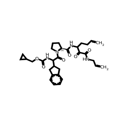 C=CCCC(NC(=O)[C@@H]1CCCN1C(=O)C(NC(=O)OCC1CC1)C1Cc2ccccc2C1)C(=O)C(=O)NCC=C